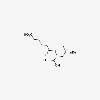 CCCCC(CC)CC(OC(=O)CCCCC(=O)O)C(C)O